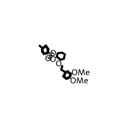 COc1ccc(CCO[C@H]2CCCC[C@H]2OS(=O)(=O)c2ccc(C)cc2)cc1OC